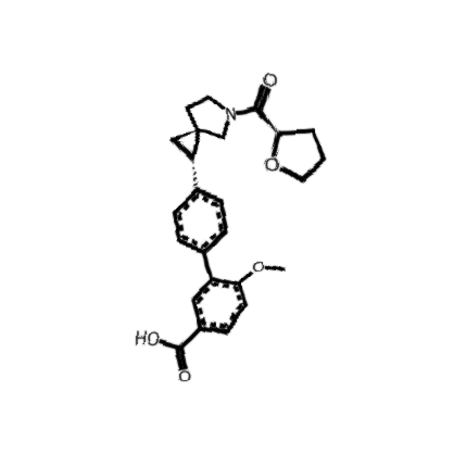 COc1ccc(C(=O)O)cc1-c1ccc([C@@H]2C[C@]23CCN(C(=O)[C@H]2CCCO2)C3)cc1